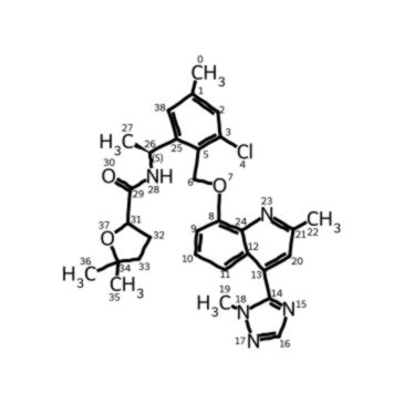 Cc1cc(Cl)c(COc2cccc3c(-c4ncnn4C)cc(C)nc23)c([C@H](C)NC(=O)C2CCC(C)(C)O2)c1